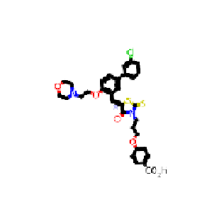 O=C(O)c1ccc(OCCCN2C(=O)/C(=C/c3cc(-c4cccc(Cl)c4)ccc3OCCN3CCOCC3)SC2=S)cc1